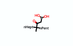 CCCCCCCC(C)(CCCCC)C(=O)CB(O)O